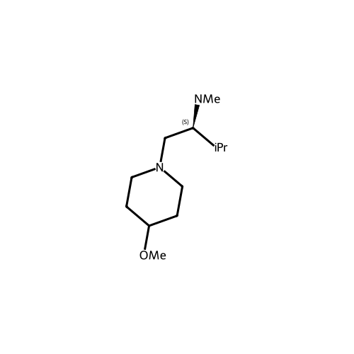 CN[C@H](CN1CCC(OC)CC1)C(C)C